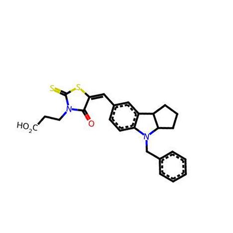 O=C(O)CCN1C(=O)/C(=C\c2ccc3c(c2)C2CCCC2N3Cc2ccccc2)SC1=S